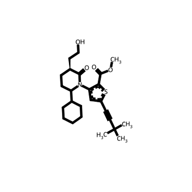 COC(=O)c1sc(C#CC(C)(C)C)cc1N1C(=O)[C@H](CCO)CCC1C1CCCCC1